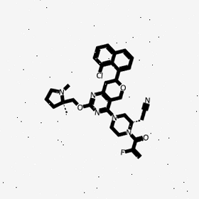 C=C(F)C(=O)N1CCN(c2nc(OC[C@@]3(C)CCCN3C)nc3c2COC(c2cccc4cccc(Cl)c24)C3)C[C@@H]1CC#N